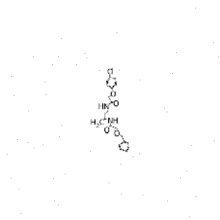 C=C(CCNC(=O)COc1ccc(Cl)cc1)NC(=O)COCc1ccccc1